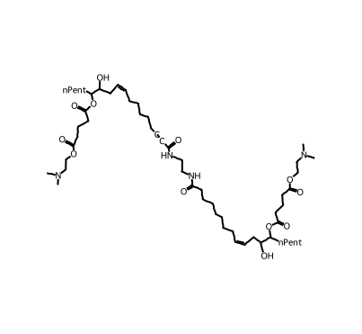 CCCCCC(OC(=O)CCCC(=O)OCCN(C)C)C(O)C/C=C\CCCCCCCC(=O)NCCNC(=O)CCCCCCC/C=C\CC(O)C(CCCCC)OC(=O)CCCC(=O)OCCN(C)C